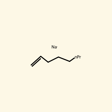 C=CCCCCCC.[Na]